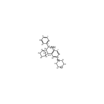 c1ccc(C2Nc3ccc(N4CCOCC4)cc3C3C4CCC(C4)C23)cc1